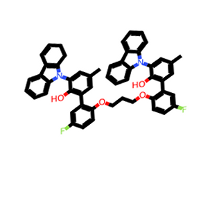 Cc1cc(-c2cc(F)ccc2OCCCOc2ccc(F)cc2-c2cc(C)cc(-n3c4ccccc4c4ccccc43)c2O)c(O)c(-n2c3c(c4ccccc42)C=CCC3)c1